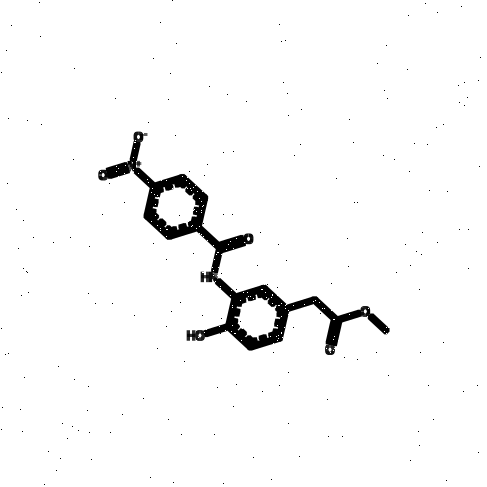 COC(=O)Cc1ccc(O)c(NC(=O)c2ccc([N+](=O)[O-])cc2)c1